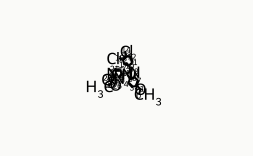 COc1ccc2c(c1)nc(-c1ccc(Cl)c(Cl)c1)n2-c1ccnc(S(C)(=O)=O)n1